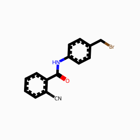 N#Cc1ccccc1C(=O)Nc1ccc(CBr)cc1